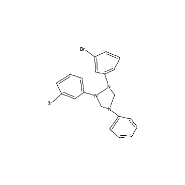 Brc1cccc(N2CN(c3ccccc3)CN2c2cccc(Br)c2)c1